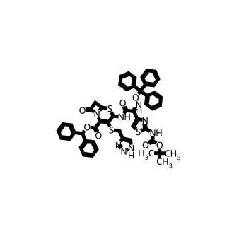 CC(C)(C)OC(=O)Nc1nc(/C(=N/OC(c2ccccc2)(c2ccccc2)c2ccccc2)C(=O)NC2SC3CC(=O)N3C(C(=O)OC(c3ccccc3)c3ccccc3)=C2SCc2c[nH]nn2)cs1